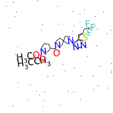 CC(C)(C)OC(=O)N1CCCC(C(=O)N2CCC3(CCN(c4ncnc5sc(CC(F)(F)F)cc45)C3)C2)C1